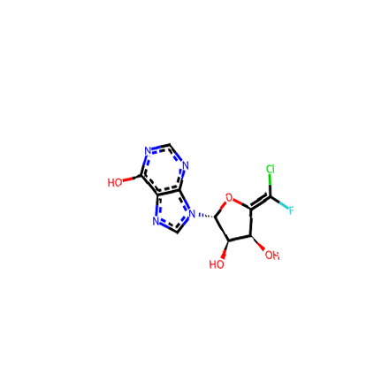 Oc1ncnc2c1ncn2[C@@H]1OC(=C(F)Cl)[C@@H](O)[C@H]1O